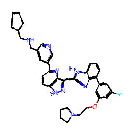 Fc1cc(OCCN2CCCC2)cc(-c2cccc3[nH]c(-c4n[nH]c5ccc(-c6cncc(CNCC7CCCC7)c6)nc45)nc23)c1